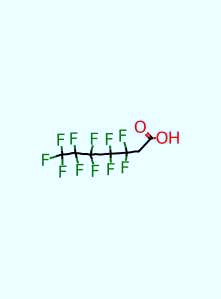 O=C(O)CC(F)(F)C(F)(F)C(F)(F)C(F)(F)C(F)(F)F